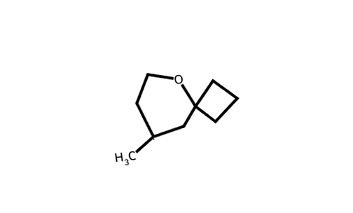 C[C]1CCOC2(CCC2)C1